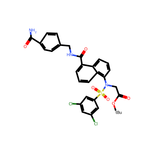 CC(C)(C)OC(=O)CN(c1cccc2c(C(=O)NCc3ccc(C(N)=O)cc3)cccc12)S(=O)(=O)c1cc(Cl)cc(Cl)c1